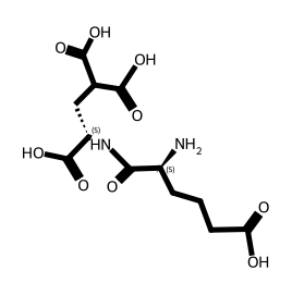 N[C@@H](CCCC(=O)O)C(=O)N[C@@H](CC(C(=O)O)C(=O)O)C(=O)O